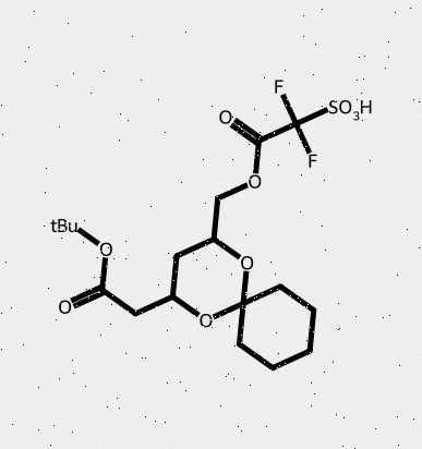 CC(C)(C)OC(=O)CC1CC(COC(=O)C(F)(F)S(=O)(=O)O)OC2(CCCCC2)O1